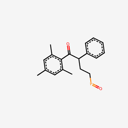 Cc1cc(C)c(C(=O)C(CCP=O)c2ccccc2)c(C)c1